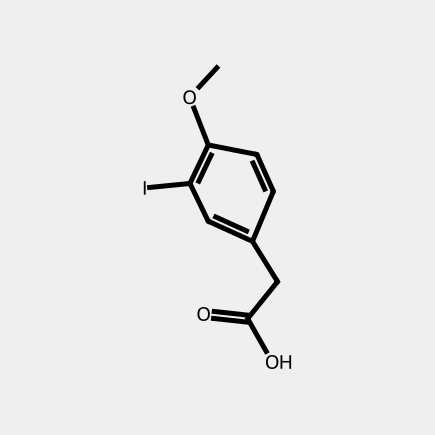 COc1ccc(CC(=O)O)cc1I